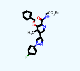 CCOC(=O)CNC(=O)c1ncc(-c2cnn(-c3ccc(F)cc3)c2)c(C)c1OCc1ccccc1